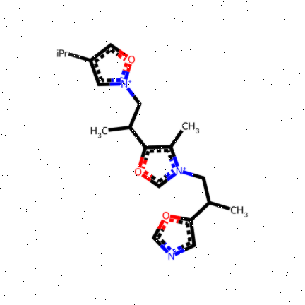 Cc1c(C(C)C[n+]2cc(C(C)C)co2)oc[n+]1CC(C)c1cnco1